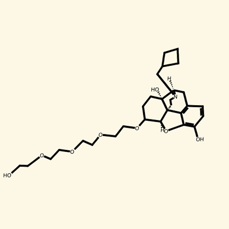 OCCOCCOCCOCCOC1CC[C@@]2(O)[C@H]3Cc4ccc(O)c5c4[C@@]2(CCN3CC2CCC2)[C@H]1O5